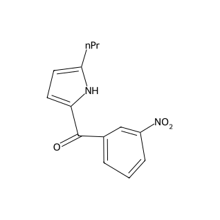 CCCc1ccc(C(=O)c2cccc([N+](=O)[O-])c2)[nH]1